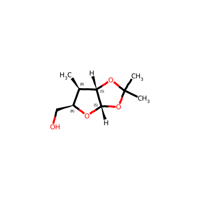 C[C@H]1[C@@H]2OC(C)(C)O[C@@H]2O[C@H]1CO